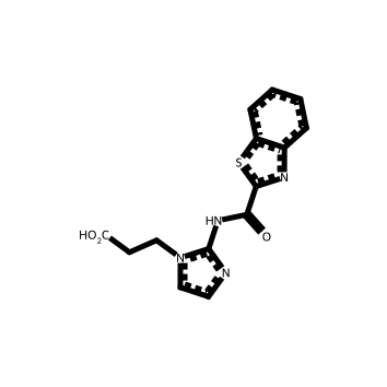 O=C(O)CCn1ccnc1NC(=O)c1nc2ccccc2s1